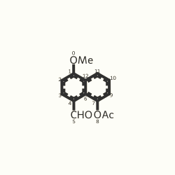 COc1ccc(C=O)c2c(OC(C)=O)cccc12